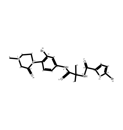 CN1CCN(c2ccc(NC(=O)C(C)(C)NC(=O)c3ccc(Br)s3)cc2Br)C(=O)C1